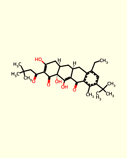 CCc1cc(C(C)(C)C)c(C)c2c1C[C@@H]1C[C@@H]3CC(O)=C(C(=O)CC(C)(C)C)C(=O)[C@]3(O)C(O)=C1C2=O